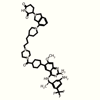 COc1cc2nc(C)nc(N[C@H](C)c3cc(N)cc(C(F)(F)F)c3)c2cc1C1CCC(C(=O)N2CCN(CCCC3CCN(c4cccc5c4CN(C4CCC(=O)NC4=O)C5)CC3)CC2)CC1